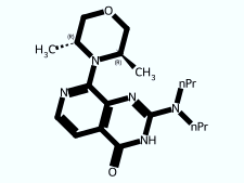 CCCN(CCC)c1nc2c(N3[C@H](C)COC[C@H]3C)nccc2c(=O)[nH]1